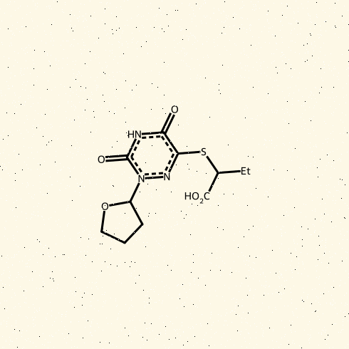 CCC(Sc1nn(C2CCCO2)c(=O)[nH]c1=O)C(=O)O